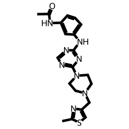 CC(=O)Nc1cccc(Nc2ncnc(N3CCN(Cc4csc(C)n4)CC3)n2)c1